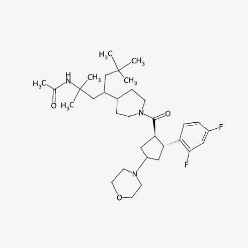 CC(=O)NC(C)(C)CC(CC(C)(C)C)C1CCN(C(=O)[C@@H]2CC(N3CCOCC3)C[C@H]2c2ccc(F)cc2F)CC1